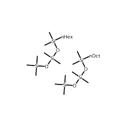 CCCCCCCC[Si](C)(C)O[Si](C)(C)O[Si](C)(C)C.CCCCCC[Si](C)(C)O[Si](C)(C)O[Si](C)(C)C